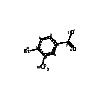 CCc1ccc(C(=O)Cl)cc1C(F)(F)F